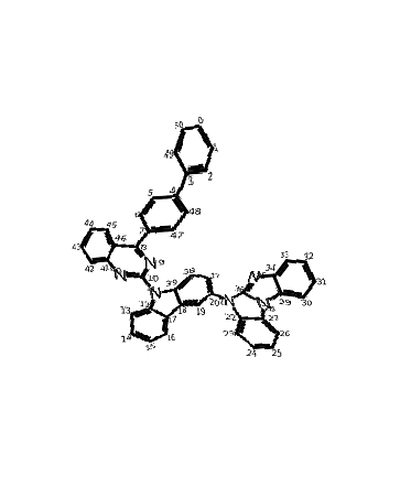 c1ccc(-c2ccc(-c3nc(-n4c5ccccc5c5cc(-n6c7ccccc7n7c8ccccc8nc67)ccc54)nc4ccccc34)cc2)cc1